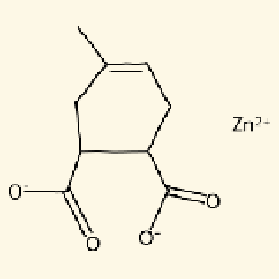 CC1=CCC(C(=O)[O-])C(C(=O)[O-])C1.[Zn+2]